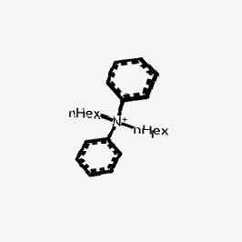 CCCCCC[N+](CCCCCC)(c1ccccc1)c1ccccc1.[I-]